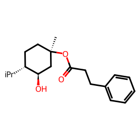 CC(C)[C@@H]1CC[C@@](C)(OC(=O)CCc2ccccc2)C[C@H]1O